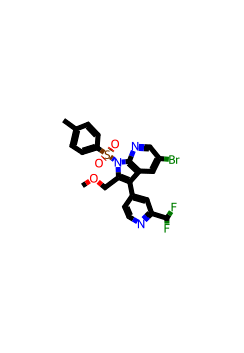 COCc1c(-c2ccnc(C(F)F)c2)c2cc(Br)cnc2n1S(=O)(=O)c1ccc(C)cc1